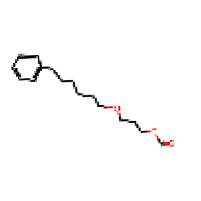 O=[C]OCCCOCCCCCCc1ccccc1